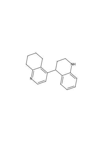 c1ccc2c(c1)NCCC2c1ccnc2c1CCCC2